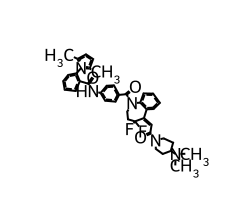 Cc1ccc(C)n1-c1ccccc1C(=O)Nc1ccc(C(=O)N2CCC(F)(F)C(=CC(=O)N3CCC(N(C)C)CC3)c3ccccc32)cc1